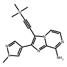 Cn1cc(-c2nc3c(N)nccn3c2C#C[Si](C)(C)C)cn1